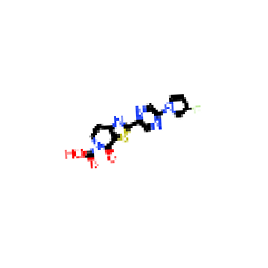 O=C(O)N1CCc2nc(-c3cnc(N4CC[C@H](F)C4)cn3)sc2C1=O